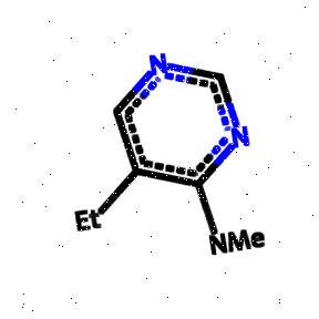 CCc1cncnc1NC